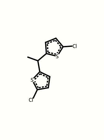 CC(c1ccc(Cl)s1)c1ccc(Cl)s1